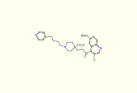 COc1ccc2ncc(Cl)c([C@@H](F)CCC3(C(=O)O)CCN(CCCCc4ccncc4)CC3)c2c1